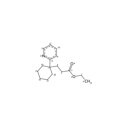 CCOC(=O)CCC1(c2ccccn2)CCCCC1